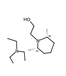 CCN(CC)CC.C[C@@H]1CCC[C@H](C)N1CCO